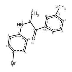 CC(Nc1ccc(Br)cc1)C(=O)c1cccc(C(F)(F)F)c1